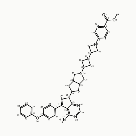 COC(=O)c1ccc(N2CC(N3CC(N4CC5CC(n6nc(-c7ccc(Oc8ccccc8)cc7)c7c(N)ncnc76)CC5C4)C3)C2)cn1